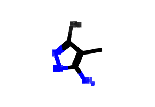 Cc1c(C(C)(C)C)n[nH]c1N